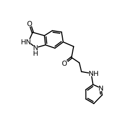 O=C(CCNc1ccccn1)Cc1ccc2c(=O)[nH][nH]c2c1